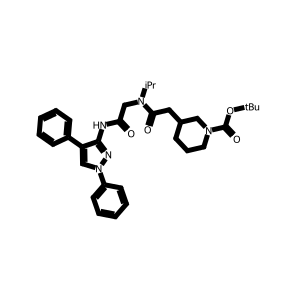 CC(C)N(CC(=O)Nc1nn(-c2ccccc2)cc1-c1ccccc1)C(=O)CC1CCCN(C(=O)OC(C)(C)C)C1